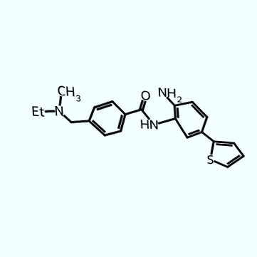 CCN(C)Cc1ccc(C(=O)Nc2cc(-c3cccs3)ccc2N)cc1